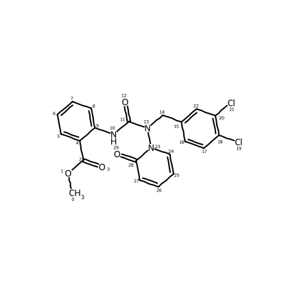 COC(=O)c1ccccc1NC(=O)N(Cc1ccc(Cl)c(Cl)c1)n1ccccc1=O